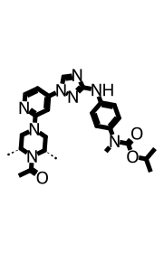 CC(=O)N1[C@H](C)CN(c2cc(-n3cnc(Nc4ccc(N(C)C(=O)OC(C)C)cc4)n3)ccn2)C[C@@H]1C